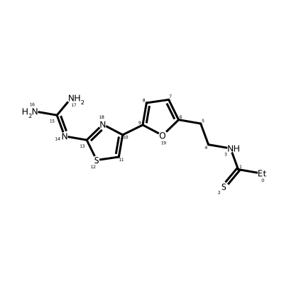 CCC(=S)NCCc1ccc(-c2csc(N=C(N)N)n2)o1